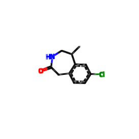 CC1CNC(=O)Cc2ccc(Cl)cc21